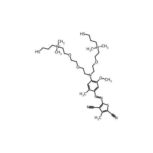 COc1cc(/N=N/c2sc(C#N)c(C)c2C#N)c(C)cc1N(CCOCCOCC[N+](C)(C)CCCS)CCOCC[N+](C)(C)CCCS